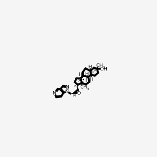 C[C@@]1(O)CC[C@H]2[C@H](CC[C@@H]3[C@@H]2CC[C@]2(C)[C@@H](C4O[C@@H]4Cn4ncc5cnccc54)CC[C@@H]32)C1